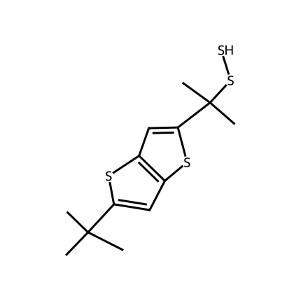 CC(C)(C)c1cc2sc(C(C)(C)SS)cc2s1